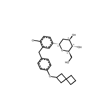 OC[C@H]1O[C@H](c2ccc(Cl)c(Cc3ccc(OC4CC5(CCC5)C4)cc3)c2)C[C@@H](O)[C@@H]1O